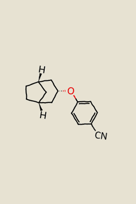 N#Cc1ccc(O[C@@H]2C[C@@H]3CC[C@@H](C3)C2)cc1